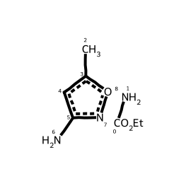 CCOC(N)=O.Cc1cc(N)no1